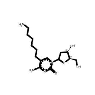 NCCCCCCc1cn(C2C[C@H](O)[C@@H](CO)O2)c(=O)nc1N